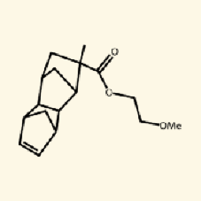 COCCOC(=O)C1(C)CC2CC1C1C3C=CC(C3)C21